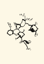 CCc1cccc(CC)c1-n1nc2c(c1-c1cc(F)c(NC(N)=O)cc1F)CN(Cc1ccc(Cl)cc1Cl)C(C)(C)C2